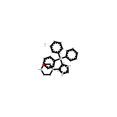 [I-].c1ccc([P+](c2ccccc2)(c2ccccc2)c2ncoc2N2CCOCC2)cc1